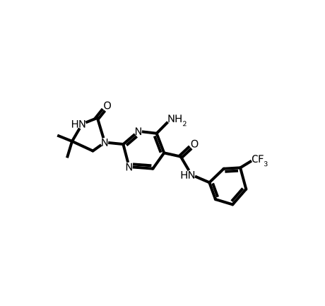 CC1(C)CN(c2ncc(C(=O)Nc3cccc(C(F)(F)F)c3)c(N)n2)C(=O)N1